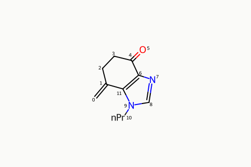 C=C1CCC(=O)c2ncn(CCC)c21